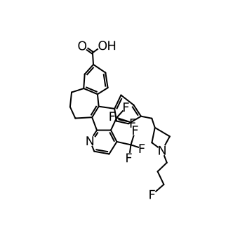 O=C(O)c1ccc2c(c1)CCCC(c1nccc(C(F)(F)F)c1C(F)(F)F)=C2c1ccc(CC2CN(CCCF)C2)cc1